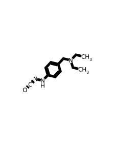 CCN(CC)Cc1ccc(NN=C=O)cc1